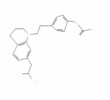 CC(=O)Nc1ccc(CCN2CCCc3ccc(CC(C)C)cc32)cc1